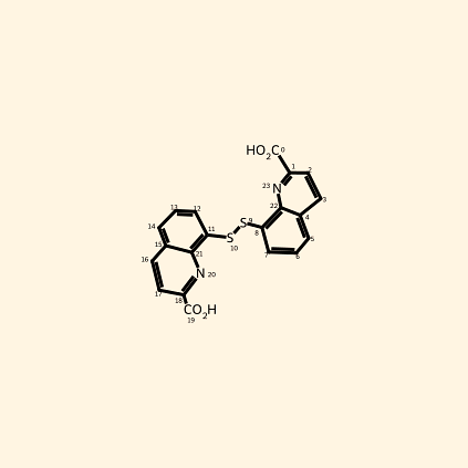 O=C(O)c1ccc2cccc(SSc3cccc4ccc(C(=O)O)nc34)c2n1